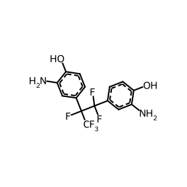 Nc1cc(C(F)(F)C(F)(c2ccc(O)c(N)c2)C(F)(F)F)ccc1O